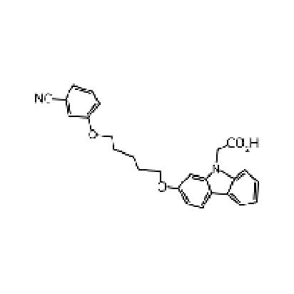 N#Cc1cccc(OCCCCCOc2ccc3c4ccccc4n(CC(=O)O)c3c2)c1